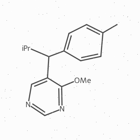 COc1ncncc1C(c1ccc(C)cc1)C(C)C